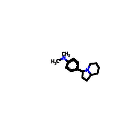 CN(C)c1ccc(C2CCC3CCCCN32)cc1